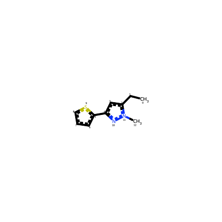 CCc1cc(-c2cccs2)nn1C